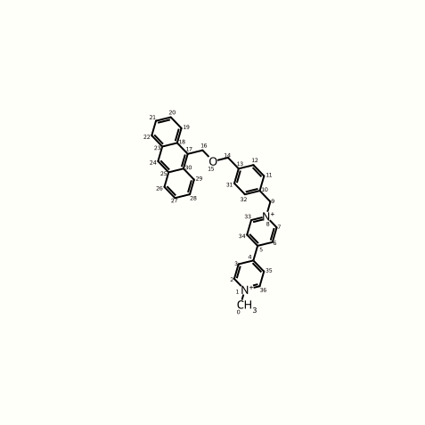 C[n+]1ccc(-c2cc[n+](Cc3ccc(COCc4c5ccccc5cc5ccccc45)cc3)cc2)cc1